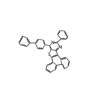 c1ccc(-c2ccc(-c3nc(-c4ccccc4)nc4c3sc3c5ccccc5c5ccccc5c43)cc2)cc1